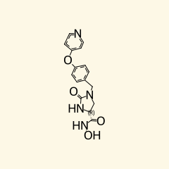 O=C(NO)[C@H]1CN(Cc2ccc(Oc3ccncc3)cc2)C(=O)N1